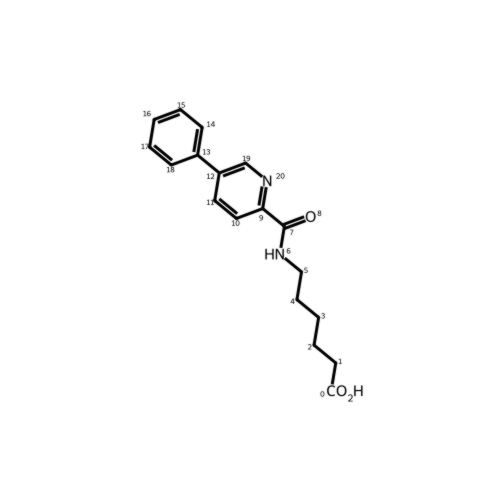 O=C(O)CCCCCNC(=O)c1ccc(-c2ccccc2)cn1